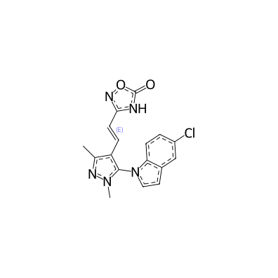 Cc1nn(C)c(-n2ccc3cc(Cl)ccc32)c1/C=C/c1noc(=O)[nH]1